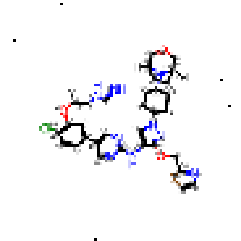 C[C@@H](CNC=N)Oc1cc(-c2cnc(Nc3cn([C@H]4CC[C@H](N5[C@@H]6CC[C@H]5COC6)CC4)nc3OCc3nccs3)nc2)ccc1Cl